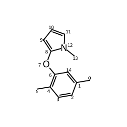 Cc1ccc(C)c(Oc2c[c]cn2C)c1